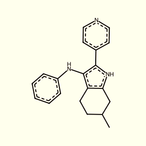 CC1CCc2c([nH]c(-c3ccncc3)c2Nc2ccccc2)C1